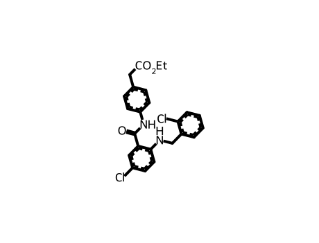 CCOC(=O)Cc1ccc(NC(=O)c2cc(Cl)ccc2NCc2ccccc2Cl)cc1